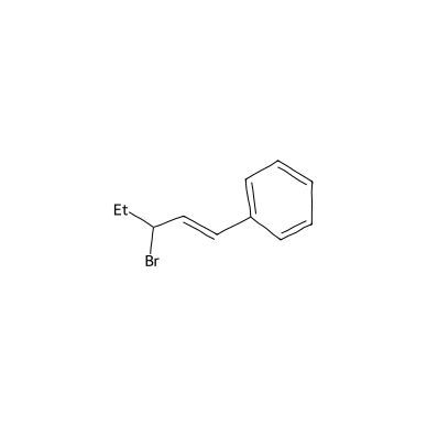 CCC(Br)C=Cc1ccccc1